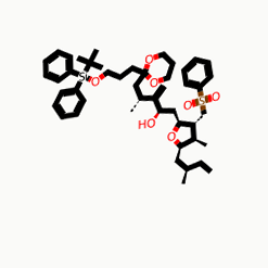 C=C([C@H](C)CC1(CCCO[Si](c2ccccc2)(c2ccccc2)C(C)(C)C)OCCCO1)[C@H](O)C[C@@H]1O[C@H](C[C@H](C)CC)[C@H](C)[C@H]1CS(=O)(=O)c1ccccc1